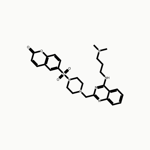 CN(C)CCCNc1nc(CN2CCN(S(=O)(=O)c3ccc4oc(=O)ccc4c3)CC2)nc2ccccc12